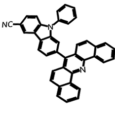 N#Cc1ccc2c(c1)c1ccc(-c3c4ccc5ccccc5c4nc4c3ccc3ccccc34)cc1n2-c1ccccc1